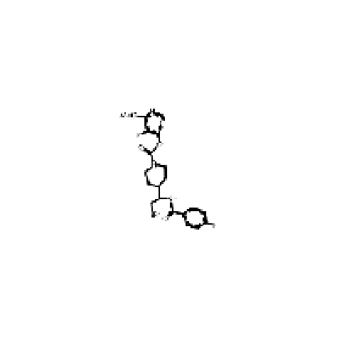 COc1nccc(OC(=O)N2CCC(C(CC(C)C)NC(=O)c3ccc(F)cc3)CC2)c1F